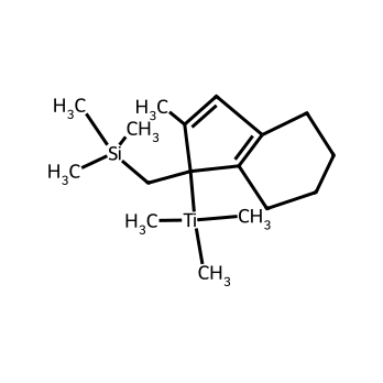 CC1=CC2=C(CCCC2)[C]1(C[Si](C)(C)C)[Ti]([CH3])([CH3])[CH3]